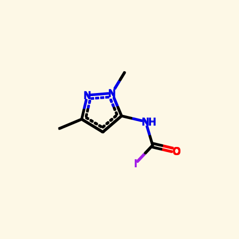 Cc1cc(NC(=O)I)n(C)n1